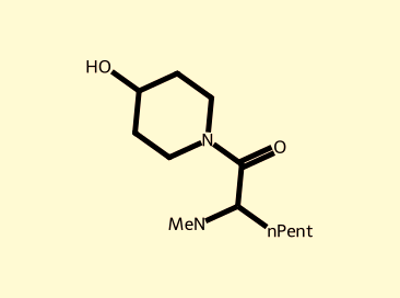 CCCCCC(NC)C(=O)N1CCC(O)CC1